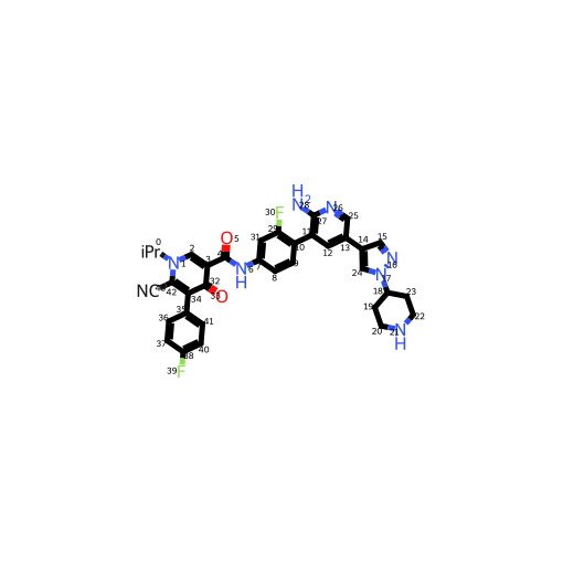 CC(C)n1cc(C(=O)Nc2ccc(-c3cc(-c4cnn(C5CCNCC5)c4)cnc3N)c(F)c2)c(=O)c(-c2ccc(F)cc2)c1C#N